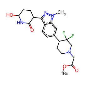 Cn1nc(C2CCC(O)NC2=O)c2ccc(C3CCN(CC(=O)OC(C)(C)C)CC3(F)F)cc21